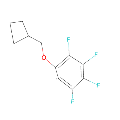 Fc1[c]c(OCC2CCC2)c(F)c(F)c1F